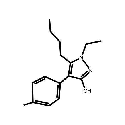 CCCCc1c(-c2ccc(C)cc2)c(O)nn1CC